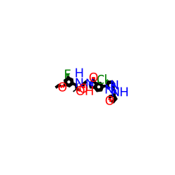 CCOc1cc(F)cc([C@H](NC(=O)CN2Cc3ccc(-c4nc(NC5C=COC5)ncc4Cl)cc3C2=O)[C@H](C)O)c1